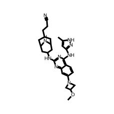 COC1CN(c2ccc3c(Nc4cc(C)[nH]n4)nc(NC4CC5CC(CCC#N)CC(C4)N5)nc3c2)C1